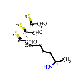 CC(N)CC[CH2][Sn].O=CC=S.O=CC=S.O=CC=S